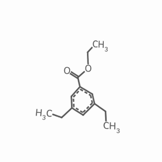 CCOC(=O)c1cc(CC)cc(CC)c1